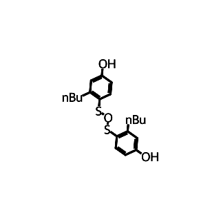 CCCCc1cc(O)ccc1SOSc1ccc(O)cc1CCCC